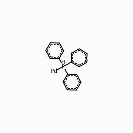 [Pd][PH](c1ccccc1)(c1ccccc1)c1ccccc1